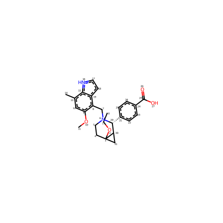 CCOC12CCN(Cc3c(OC)cc(C)c4[nH]ccc34)[C@H](c3ccc(C(=O)O)cc3)C1C2